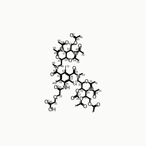 CC(=O)OCC(OC(C)=O)C(OC(C)=O)C(OC(C)=O)C(CN(C)C(=O)c1c(I)c(NC(=O)COCC(=O)O)c(I)c(C(=O)N(C)CC(OC(C)=O)C(OC(C)=O)C(OC(C)=O)C(COC(C)=O)OC(C)=O)c1I)OC(C)=O